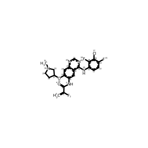 C=C(F)C(=O)Nc1cc2c(Nc3ccc(F)c(Cl)c3F)ncnc2cc1OC1CCN(C)C1